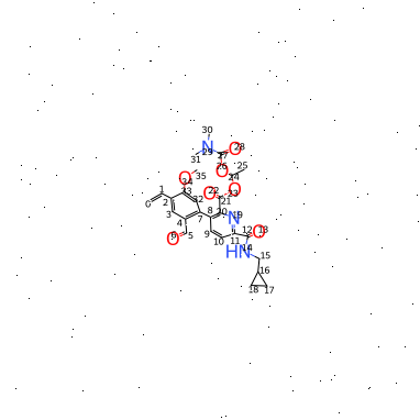 C=Cc1cc(C=O)c(-c2ccc(C(=O)NCC3CC3)nc2C(=O)OC(C)OC(=O)N(C)C)cc1OC